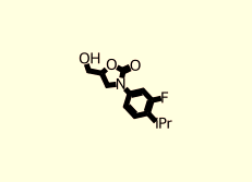 CC(C)c1ccc(N2CC(CO)OC2=O)cc1F